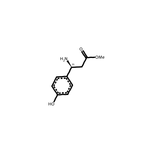 COC(=O)C[C@H](N)c1ccc(O)cc1